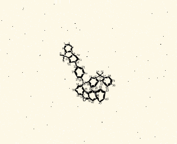 CC1(C)c2ccccc2-c2ccc(-c3ccc(N(c4ccc5c(c4)C(C)(C)c4ccccc4-5)c4cccc5oc6cc7ccccc7cc6c45)cc3)cc21